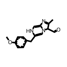 COc1ccc(CC2=CN3C(=CN2)N=C(C)C3C=O)cc1